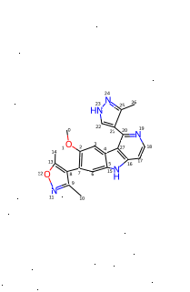 COc1cc2c(cc1-c1c(C)noc1C)[nH]c1ccnc(-c3c[nH]nc3C)c12